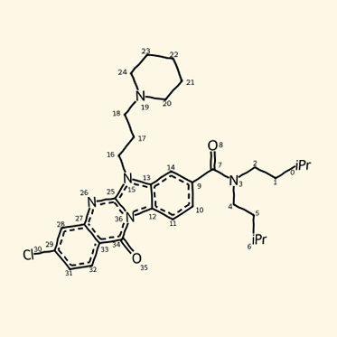 CC(C)CCN(CCC(C)C)C(=O)c1ccc2c(c1)n(CCCN1CCCCC1)c1nc3cc(Cl)ccc3c(=O)n21